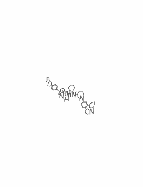 N#Cc1ccc(N2CCC[C@H](N[C@@H]3CCCC[C@H]3Nc3ncc(-c4ccc(OCF)cc4)o3)C2)cc1Cl